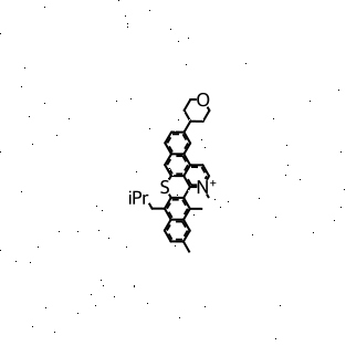 Cc1ccc2c(CC(C)C)c3c(c(C)c2c1)-c1c2c(cc4ccc(C5CCOCC5)cc4c2cc[n+]1C)S3